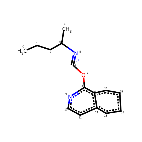 CCCC(C)/N=C/Oc1nccc2ccccc12